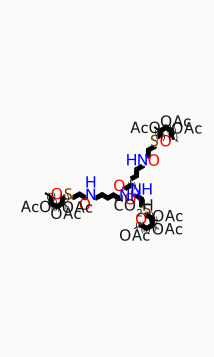 CC(=O)O[C@@H]1[C@H](OC(C)=O)[C@H](C)O[C@H](SCCC(=O)NCCCC[C@H](NC(=O)CCS[C@H]2O[C@@H](C)[C@@H](OC(C)=O)[C@@H](OC(C)=O)[C@@H]2OC(C)=O)C(=O)N[C@@H](CCCCNC(=O)CCS[C@@H]2O[C@H](C)[C@H](OC(C)=O)[C@H](OC(C)=O)[C@H]2OC(C)=O)C(=O)O)[C@H]1OC(C)=O